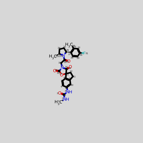 CNC(=O)Nc1ccc2c(c1)CCC21OC(=O)N(CC(=O)N2[C@@H](C)CC[C@H]2c2ccc(F)cc2C)C1=O